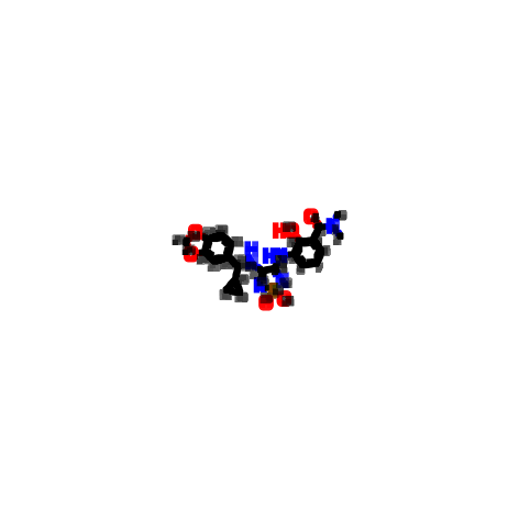 CN(C)C(=O)c1cccc(NC2=NS(=O)(=O)N=C2N[C@@H](c2ccc3c(c2)OCO3)C2CC2)c1O